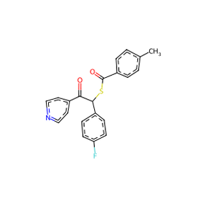 Cc1ccc(C(=O)SC(C(=O)c2ccncc2)c2ccc(F)cc2)cc1